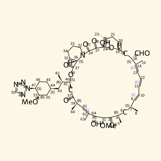 COC1C(=O)[C@H](C)C[C@H](C)/C=C/C=C/C=C(\C)[C@@H](C=O)C[C@@H]2CC[C@@H](C)[C@@](O)(O2)C(=O)C(=O)N2CCCC[C@H]2C(=O)O[C@H]([C@H](C)C[C@@H]2CC[C@H](n3ncnn3)[C@H](OC)C2)CC(=O)[C@H](C)/C=C(\C)[C@H]1O